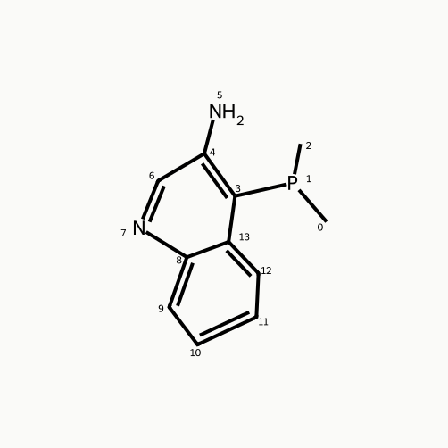 CP(C)c1c(N)cnc2ccccc12